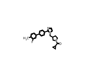 Cc1ccc(-c2ccc(-c3nccn3CC3CCN(C(=O)C4CC4)C3)cc2)cc1F